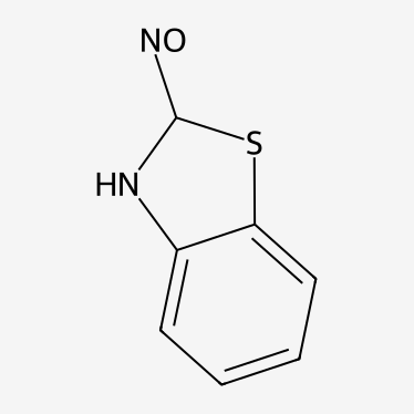 O=NC1Nc2ccccc2S1